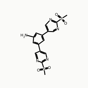 CS(=O)(=O)c1ncc(-c2cc(N)cc(-c3cnc(S(C)(=O)=O)nc3)c2)cn1